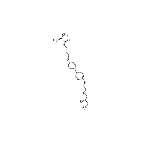 C=CC(=O)COCCOc1ccc(-c2ccc(OCCCOC(=O)C(=C)C)cc2)cc1